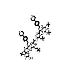 C[C@@H](OC(=O)[C@H](CC(C)(C)C)N(C)C(=O)[C@@H](CCc1ccc(C2CCOCC2)cc1)OC(=O)[C@H](CCC(C)(C)F)N(C)C(=O)[C@@H](C)OC(=O)[C@H](CC(C)(C)C)N(C)C(=O)[C@@H](CCc1ccc(C2CCOCC2)cc1)OC(=O)[C@H](CC(C)(C)F)N(C)C(=O)OC(C)(C)C)C(=O)O